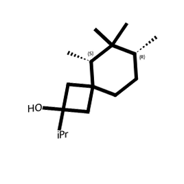 CC(C)C1(O)CC2(CC[C@@H](C)C(C)(C)[C@H]2C)C1